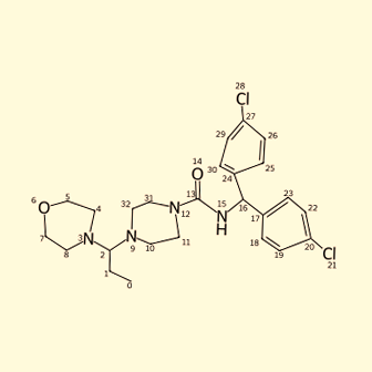 CCC(N1CCOCC1)N1CCN(C(=O)NC(c2ccc(Cl)cc2)c2ccc(Cl)cc2)CC1